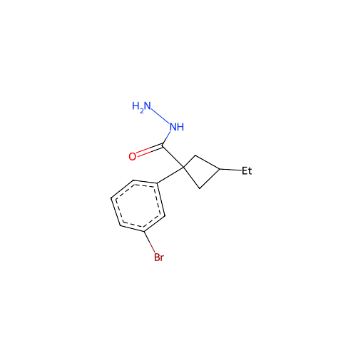 CCC1CC(C(=O)NN)(c2cccc(Br)c2)C1